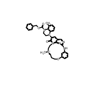 Cc1cccc2c1N(C(=O)OCc1ccccc1)CCN2c1cc2cnc3nc2n(c1=O)CC/[N+](C)=C/CCOc1cccc(c1)N3